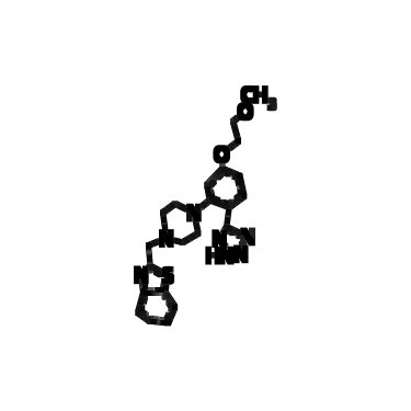 COCCOc1ccc(-c2nn[nH]n2)c(N2CCN(Cc3nc4ccccc4s3)CC2)c1